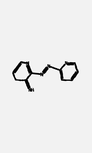 N=C1CC=CN=C1N=Nc1ccccn1